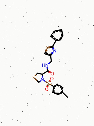 Cc1ccc(S(=O)(=O)N2CSCC2C(=O)NCc2csc(-c3ccccc3)n2)cc1